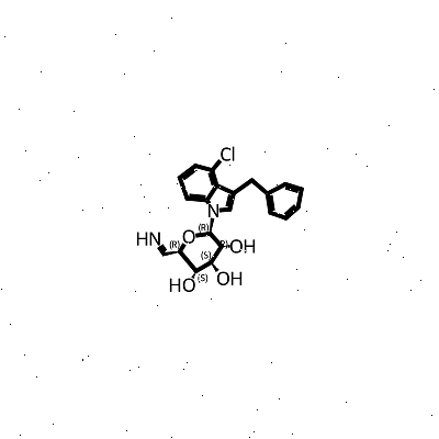 N=C[C@H]1O[C@@H](n2cc(Cc3ccccc3)c3c(Cl)cccc32)[C@H](O)[C@@H](O)[C@@H]1O